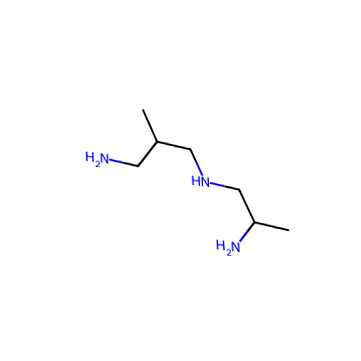 CC(N)CNCC(C)CN